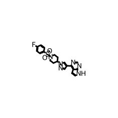 O=S(=O)(c1ccc(F)cc1)N1CCC(n2cc(-c3ncnc4[nH]ccc34)cn2)CC1